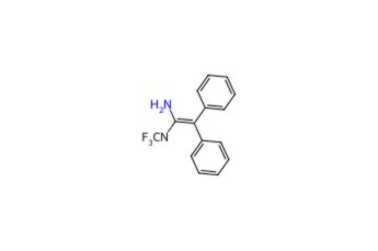 NC(NC(F)(F)F)=C(c1ccccc1)c1ccccc1